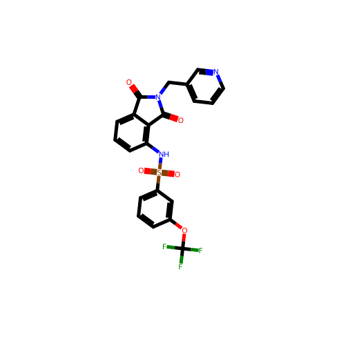 O=C1c2cccc(NS(=O)(=O)c3cccc(OC(F)(F)F)c3)c2C(=O)N1Cc1cccnc1